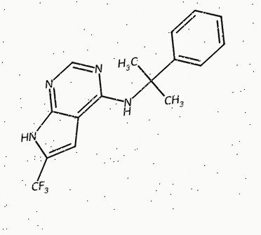 CC(C)(Nc1ncnc2[nH]c(C(F)(F)F)cc12)c1ccccc1